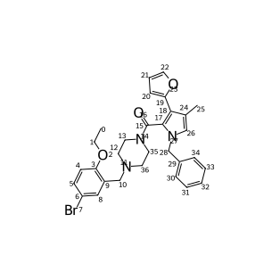 CCOc1ccc(Br)cc1CN1CCN(C(=O)c2c(-c3ccco3)c(C)cn2Cc2ccccc2)CC1